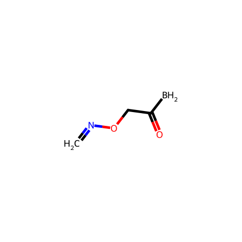 BC(=O)CON=C